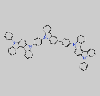 c1ccc(-n2c3ccccc3c3c4c5ccccc5n(-c5ccc(-c6ccc7c(c6)c6ccccc6n7-c6ccc(-n7c8ccccc8c8c9c%10ccccc%10n(-c%10ccccc%10)c9ccc87)cc6)cc5)c4ccc32)cc1